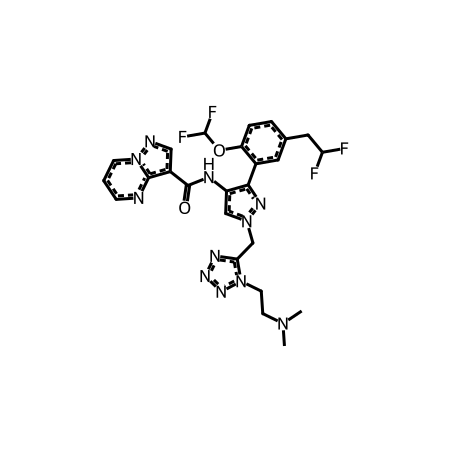 CN(C)CCn1nnnc1Cn1cc(NC(=O)c2cnn3cccnc23)c(-c2cc(CC(F)F)ccc2OC(F)F)n1